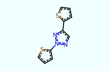 c1csc(-c2cnn(-c3cccs3)n2)c1